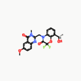 COc1ccc2nc(CN3C(=O)C(F)(F)Oc4c([C@H](C)O)cccc43)n(C)c(=O)c2c1